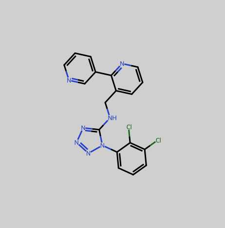 Clc1cccc(-n2nnnc2NCc2cccnc2-c2cccnc2)c1Cl